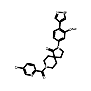 COc1cc(N2CCC3(CCN(C(=O)c4ccc(Cl)cn4)CC3)C2=O)ccc1-c1cn[nH]c1